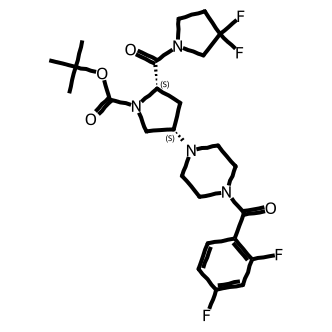 CC(C)(C)OC(=O)N1C[C@@H](N2CCN(C(=O)c3ccc(F)cc3F)CC2)C[C@H]1C(=O)N1CCC(F)(F)C1